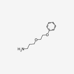 NCCCOCCOc1ccccc1